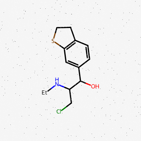 CCNC(CCl)C(O)c1ccc2c(c1)SCC2